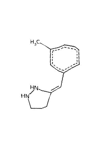 Cc1cccc(C=C2CCNN2)c1